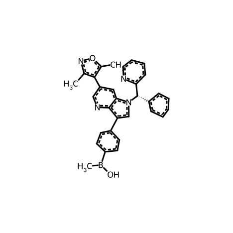 CB(O)c1ccc(-c2cn([C@@H](c3ccccc3)c3ccccn3)c3cc(-c4c(C)noc4C)cnc23)cc1